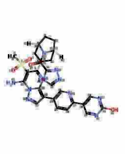 CS(=O)(=O)c1c([C@@H]2C[C@H]3CC[C@@H](C2)N3C(=O)c2nnc[nH]2)nc2c(-c3ccc(-c4cnc(O)nc4)nc3)cnn2c1N